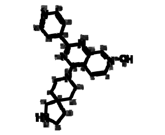 O[n+]1ccc2c(N3CCC4(CCNC4)CC3)nc(-c3ccncc3)nc2c1